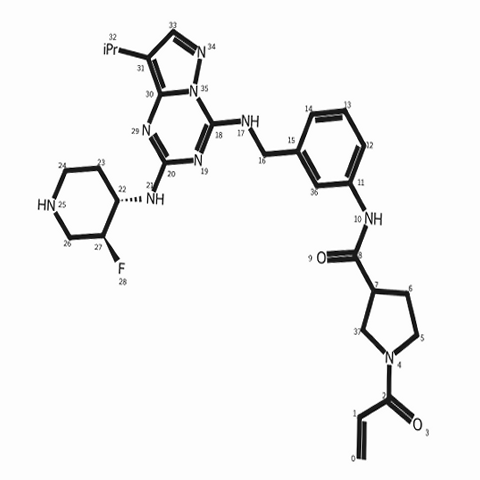 C=CC(=O)N1CCC(C(=O)Nc2cccc(CNc3nc(N[C@H]4CCNC[C@@H]4F)nc4c(C(C)C)cnn34)c2)C1